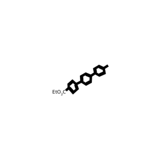 CCOC(=O)c1ccc(-c2ccc(-c3ccc(C)cc3)cc2)cc1